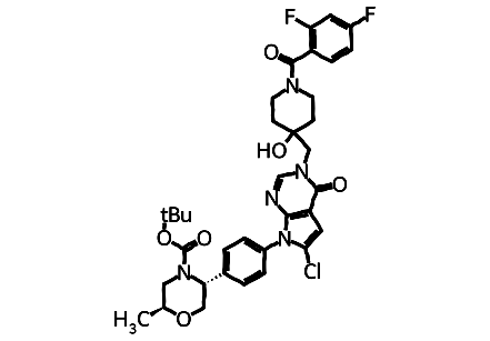 C[C@H]1CN(C(=O)OC(C)(C)C)[C@H](c2ccc(-n3c(Cl)cc4c(=O)n(CC5(O)CCN(C(=O)c6ccc(F)cc6F)CC5)cnc43)cc2)CO1